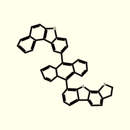 C1=CC2C(c3ccc4oc5ccc6ccccc6c5c4c3)=c3ccccc3=C(c3cccc4c3sc3c5c(ccc34)CCS5)C2C=C1